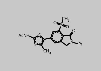 CC(=O)Nc1nc(C)c(-c2cc3c(c(S(C)(=O)=O)c2)C(=O)N(C(C)C)C3)s1